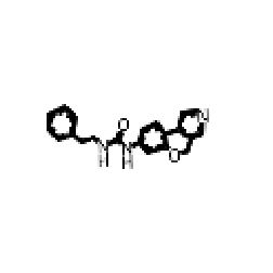 O=C(NCCc1ccccc1)Nc1ccc2c(c1)OCc1cnccc1-2